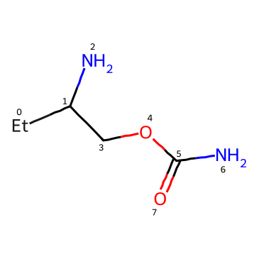 CCC(N)COC(N)=O